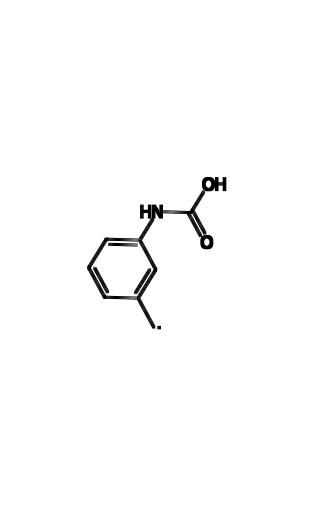 [CH2]c1cccc(NC(=O)O)c1